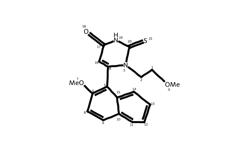 COCCn1c(-c2c(OC)ccc3ccccc23)cc(=O)[nH]c1=S